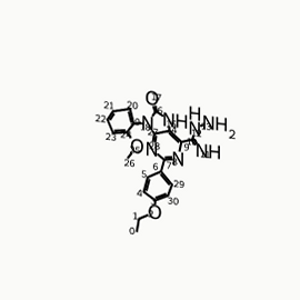 CCOc1ccc(-c2nc(C(=N)NN)c3[nH]c(=O)n(-c4ccccc4OC)c3n2)cc1